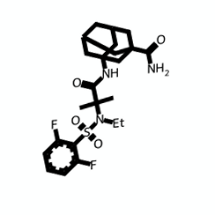 CCN(C(C)(C)C(=O)NC12CC3CC(C1)CC(C(N)=O)(C3)C2)S(=O)(=O)c1c(F)cccc1F